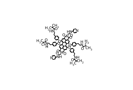 C=C(C)C(=O)NCCc1ccc(Oc2cc3c4c(cc(Oc5ccc(CCNC(=O)C(=C)C)cc5)c5c6c(Oc7ccc(CCNC(=O)C(=C)C)cc7)cc7c8c(cc(Oc9ccc(CCNC(=O)C(=C)C)cc9)c(c2c45)c86)C(=O)N(CC(=O)Nc2ccncc2)C7=O)C(=O)N(CC(=O)Nc2ccncc2)C3=O)cc1